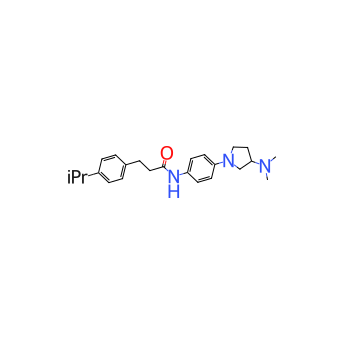 CC(C)c1ccc(CCC(=O)Nc2ccc(N3CCC(N(C)C)C3)cc2)cc1